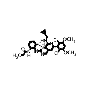 C=CC(=O)Nc1cccc(C)c1Nc1ncc2cc(-c3c(Cl)c(OC)cc(OC)c3Cl)nc(NCC3CC3)c2n1